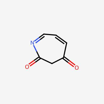 O=C1C=CC=NC(=O)C1